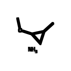 COC1CC1C.N